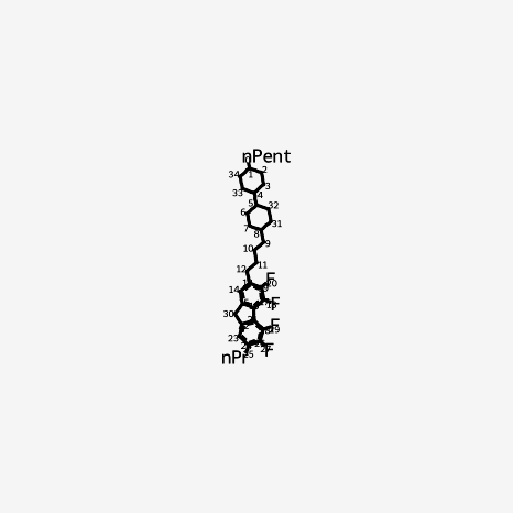 CCCCCC1CCC(C2CCC(CCCCc3cc4c(c(F)c3F)-c3c(cc(CCC)c(F)c3F)C4)CC2)CC1